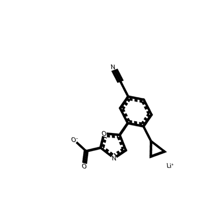 N#Cc1ccc(C2CC2)c(-c2cnc(C(=O)[O-])o2)c1.[Li+]